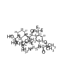 CC(C)N(C(=O)c1cc2c(cc1C(F)(F)F)OC(C)(C)C(=O)N2CCN)[C@@H]1CCCN(C(=O)O)C1C(C)(C)C